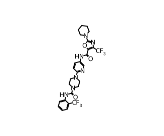 O=C(Nc1ccc(N2CCN(C(=O)Nc3ccccc3C(F)(F)F)CC2)nc1)c1oc(N2CCCCC2)nc1C(F)(F)F